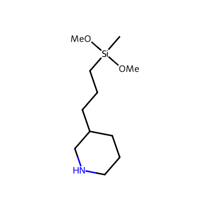 CO[Si](C)(CCCC1CCCNC1)OC